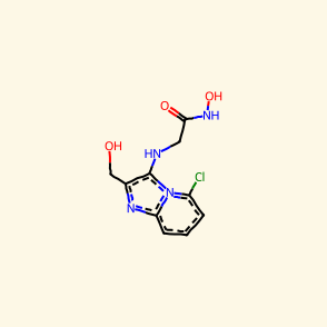 O=C(CNc1c(CO)nc2cccc(Cl)n12)NO